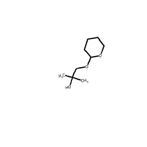 CC(C)(O)COC1CCCCO1